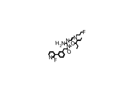 C/C=C(/C(=O)CC)N(/C=C/N=C(/N)N(C)C(=O)Cc1cccc(-c2cccnc2F)c1)CCCF